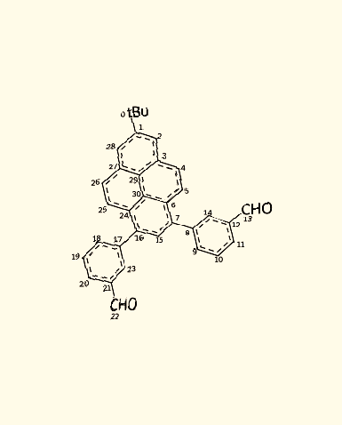 CC(C)(C)c1cc2ccc3c(-c4cccc(C=O)c4)cc(-c4cccc(C=O)c4)c4ccc(c1)c2c34